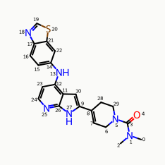 CN(C)C(=O)N1CC=C(c2cc3c(Nc4ccc5ncsc5c4)ccnc3[nH]2)CC1